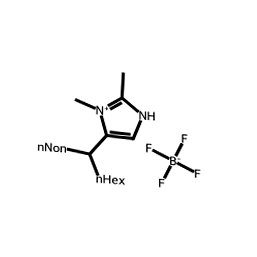 CCCCCCCCCC(CCCCCC)c1c[nH]c(C)[n+]1C.F[B-](F)(F)F